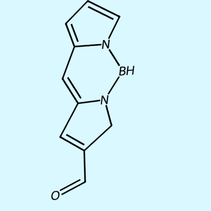 O=CC1=CC2=Cc3cccn3BN2C1